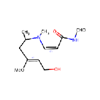 CO/C(=C\CO)CC(C)N(C)/C=C\C(=O)NC=O